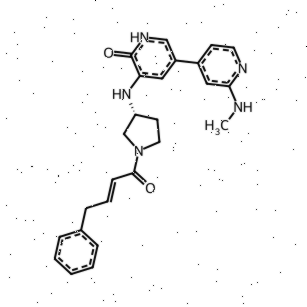 CNc1cc(-c2c[nH]c(=O)c(N[C@@H]3CCN(C(=O)C=CCc4ccccc4)C3)c2)ccn1